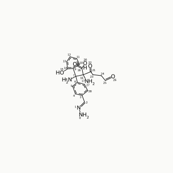 NN=Cc1ccc(C(N)(c2ccccc2O)C(N)(C(=O)O)C(=O)CCC=O)cc1